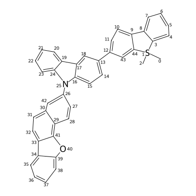 CS1(C)c2ccccc2-c2ccc(-c3ccc4c(c3)c3ccccc3n4-c3ccc4c(ccc5c6ccccc6oc45)c3)cc21